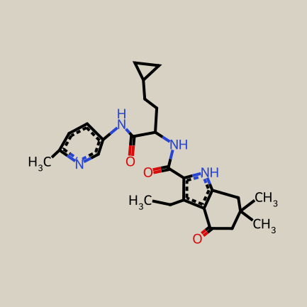 CCc1c(C(=O)NC(CCC2CC2)C(=O)Nc2ccc(C)nc2)[nH]c2c1C(=O)CC(C)(C)C2